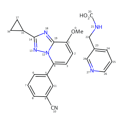 COc1ccc(-c2cccc(C#N)c2)n2nc(C3CC3)nc12.O=C(O)NCc1cccnc1